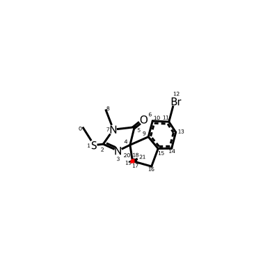 CSC1=NC2(C(=O)N1C)c1cc(Br)ccc1CC21CC=CC1